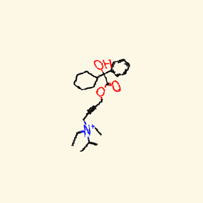 CC[N+](CC)(CC#CCOC(=O)C(O)(c1ccccc1)C1CCCCC1)C(C)C